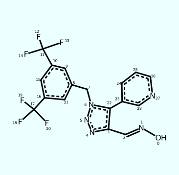 ON=Cc1nnn(Cc2cc(C(F)(F)F)cc(C(F)(F)F)c2)c1-c1cccnc1